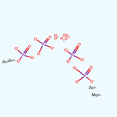 O.O.O.O=P([O-])([O-])[O-].O=P([O-])([O-])[O-].O=P([O-])([O-])[O-].O=P([O-])([O-])[O-].[Mo+6].[Zn+2].[Zn+2].[Zn+2]